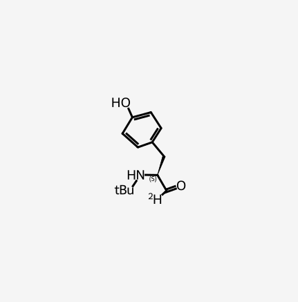 [2H]C(=O)[C@H](Cc1ccc(O)cc1)NC(C)(C)C